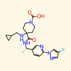 C[C@H](NC(=O)C1(NCC2CC2)CCN(C(=O)O)CC1)c1ccc(-n2cc(F)cn2)nc1